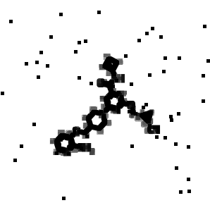 N#C[C@H]1C[C@H]1COc1nc(C(=O)NC23CC(C2)C3)cc(N2CCC(COc3cccnc3N)CC2)n1